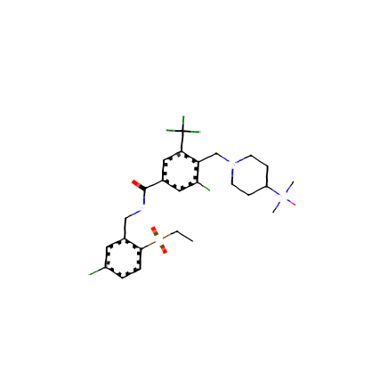 CCS(=O)(=O)c1ccc(Cl)cc1CNC(=O)c1cc(Cl)c(CN2CCC([N+](C)(C)[O-])CC2)c(C(F)(F)F)c1